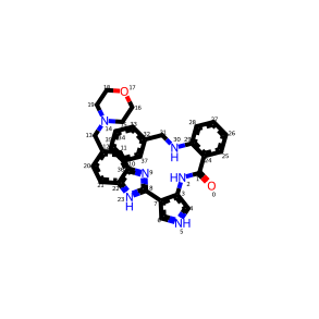 O=C(Nc1c[nH]cc1-c1nc2cc(CN3CCOCC3)ccc2[nH]1)c1ccccc1NCc1ccccc1